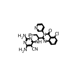 CC(C)CC(Nc1nc(N)nc(N)c1C#N)c1nc2cccc(Cl)c2c(=O)n1-c1cccnc1